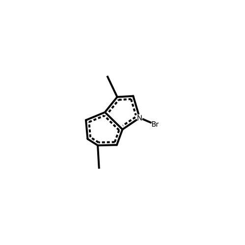 Cc1ccc2c(C)cn(Br)c2c1